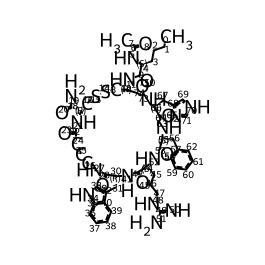 CCCC[C@H](NC(C)=O)C(=O)N[C@H]1CSSC[C@@H](C(N)=O)NC(=O)CCCNC(=O)[C@@H](Cc2c[nH]c3ccccc23)NC(=O)[C@H](CCCNC(=N)N)NC(=O)[C@H](Cc2ccccc2)NC(=O)[C@H](Cc2c[nH]cn2)NC1=O